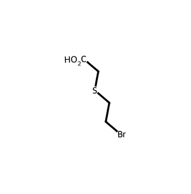 O=C(O)CSCCBr